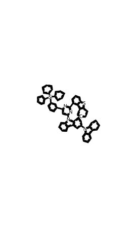 c1ccc([Si](c2ccccc2)(c2ccccc2)c2cccc(-c3cc(-n4c5ccccc5c5cc(-n6c7ccccc7c7ccccc76)ccc54)nc(-c4cccc5sc6ccccc6c45)n3)c2)cc1